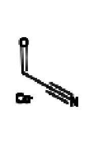 N#CC=O.[Co]